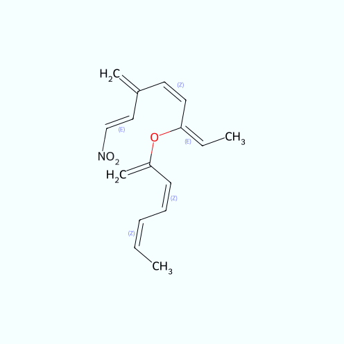 C=C(/C=C\C(=C/C)OC(=C)/C=C\C=C/C)/C=C/[N+](=O)[O-]